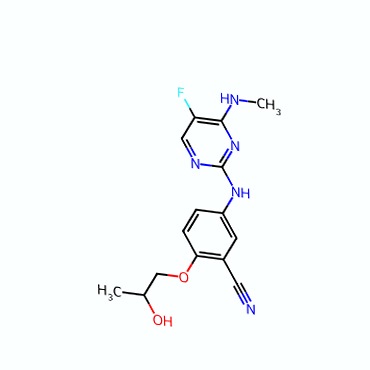 CNc1nc(Nc2ccc(OCC(C)O)c(C#N)c2)ncc1F